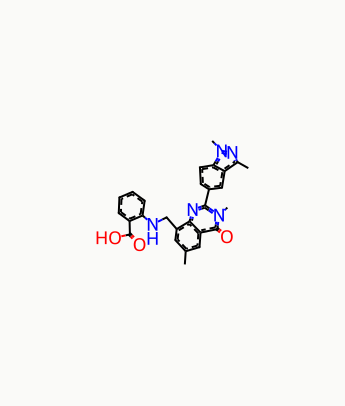 Cc1cc(CNc2ccccc2C(=O)O)c2nc(-c3ccc4c(c3)c(C)nn4C)n(C)c(=O)c2c1